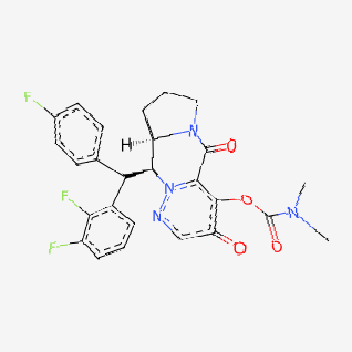 CN(C)C(=O)Oc1c2n(ncc1=O)[C@@H](C(c1ccc(F)cc1)c1cccc(F)c1F)[C@H]1CCCN1C2=O